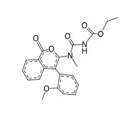 CCOC(=O)NC(=O)N(C)c1oc(=O)c2ccccc2c1-c1ccccc1OC